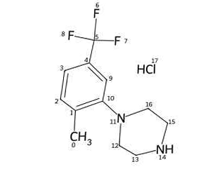 Cc1ccc(C(F)(F)F)cc1N1CCNCC1.Cl